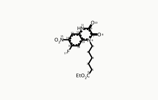 CCOC(=O)CCCCCn1c(=O)c(=O)[nH]c2cc([N+](=O)[O-])c(F)cc21